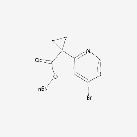 CCCCOC(=O)C1(c2cc(Br)ccn2)CC1